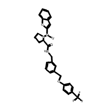 O=C(NCc1cccc(COc2ccc(C(F)(F)F)cc2)c1)C1CCCN1[S+]([O-])c1cc2ccccc2o1